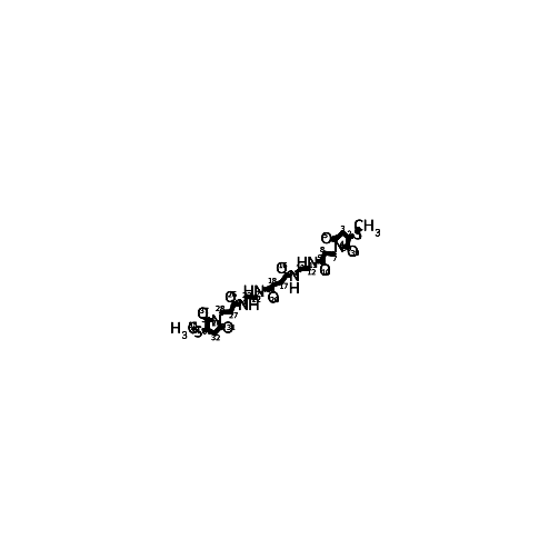 CSC1CC(=O)N(CCC(=O)NCCNC(=O)CCC(=O)NCCNC(=O)CCN2C(=O)CC(SC)C2=O)C1=O